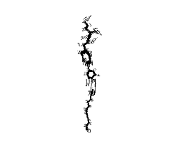 CCCCCCCCOc1ccc(-c2ccc(CCCC(F)CCC)cn2)cc1